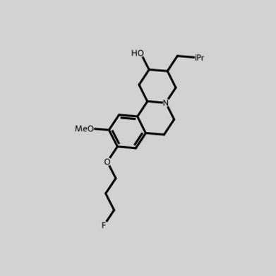 COc1cc2c(cc1OCCCF)CCN1CC(CC(C)C)C(O)CC21